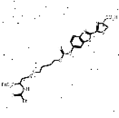 CCOC(=O)C(CSSCCCCOC(=O)Oc1ccc2nc(C3=N[C@@H](C(=O)O)CS3)sc2c1)NC(=O)CC